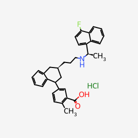 Cc1ccc(C2C[C@H](CCCN[C@H](C)c3ccc(F)c4ccccc34)Cc3ccccc32)cc1C(=O)O.Cl